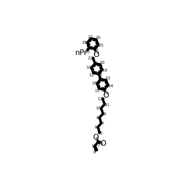 C=CC(=O)OCCCCCCCCOc1ccc(-c2ccc(COc3ccccc3CCC)cc2)cc1